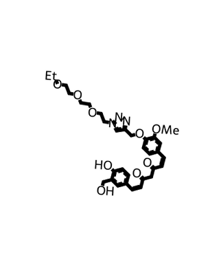 CCOCCOCCOCCn1cc(COc2ccc(/C=C\C(=O)CC(=O)/C=C\c3ccc(O)c(CO)c3)cc2OC)nn1